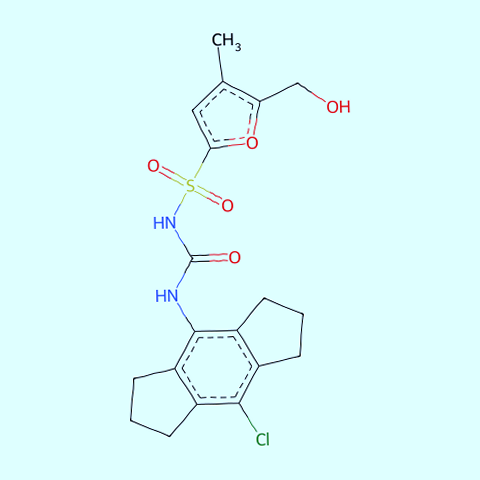 Cc1cc(S(=O)(=O)NC(=O)Nc2c3c(c(Cl)c4c2CCC4)CCC3)oc1CO